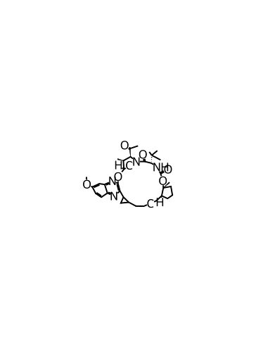 COc1ccc2nc3c(nc2c1)O[C@H]1CN(C(=O)[C@H](C(C)(C)C)NC(=O)O[C@]2(C)CCC[C@H]2CCCCC2CC32)[C@H](C(C)=O)[C@@H]1C